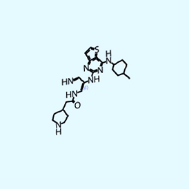 CC1CCC(Nc2nc(N/C(C=N)=C/NC(=O)CC3CCNCC3)nc3ccsc23)CC1